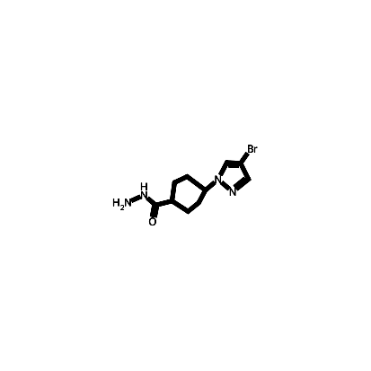 NNC(=O)C1CCC(n2cc(Br)cn2)CC1